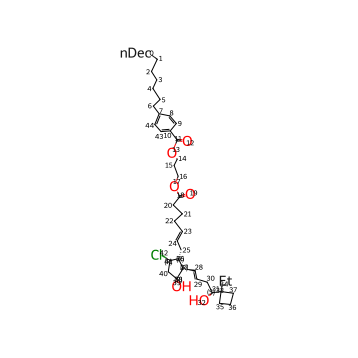 CCCCCCCCCCCCCCCCc1ccc(C(=O)OCCCOC(=O)CCCC=CC[C@@H]2[C@@H](C=CC[C@H](O)C3(CC)CCC3)[C@H](O)C[C@H]2Cl)cc1